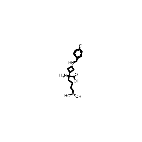 NC(CCCCB(O)O)(C(=O)O)[C@H]1C[C@@H](NCc2ccc(Cl)cc2)C1